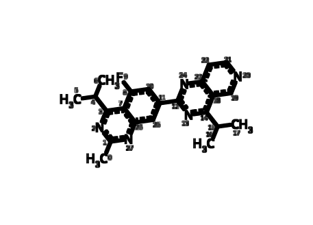 Cc1nc(C(C)C)c2c(F)cc(-c3nc(C(C)C)c4cnccc4n3)cc2n1